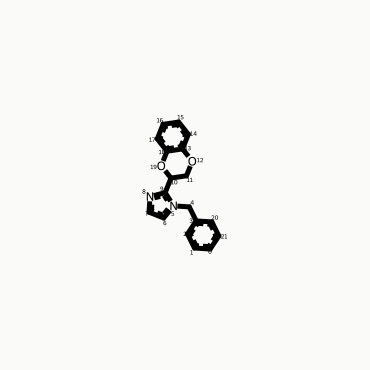 c1ccc(Cn2ccnc2C2COc3ccccc3O2)cc1